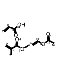 C=C(C)C(=O)OC.C=CC(=O)O.C=COC(C)=O